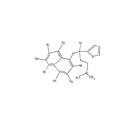 [2H]c1c([2H])c([2H])c2c(OC([2H])(CCN(C)C)c3cccs3)c([2H])c([2H])c([2H])c2c1[2H]